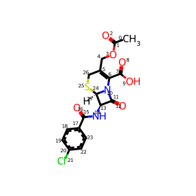 CC(=O)OCC1=C(C(=O)O)N2C(=O)[C@@H](NC(=O)c3ccc(Cl)cc3)[C@H]2SC1